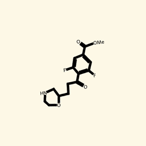 COC(=O)c1cc(F)c(C(=O)CCC2CNCCO2)c(F)c1